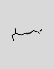 CCC(C)CC=CCSC